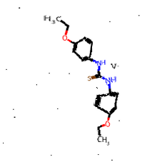 CCOc1ccc(NC(=S)Nc2ccc(OCC)cc2)cc1.[V]